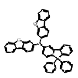 c1ccc([Si]2(c3ccccc3)c3ccccc3-c3cc(N(c4ccc5c(c4)oc4ccccc45)c4ccc5c(c4)oc4ccccc45)ccc32)cc1